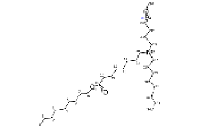 CCCCCCCCCOC(=O)CCCCCCCN(CCC/C=N/OC)CCCCCCCC